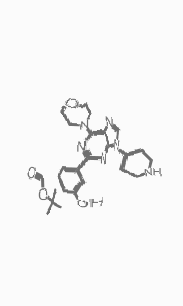 CC(C)(C)OC=O.Oc1cccc(-c2nc(N3CCOCC3)c3ncn(C4CCNCC4)c3n2)c1